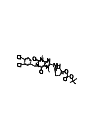 Cn1c(N[C@@H]2CCC[C@H](OC(=O)OC(C)(C)C)C2)nc2c1c(=O)n(Cc1ccc(Cl)c(Cl)c1)c(=O)n2C